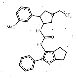 COc1cccc(C2CN(CC(F)(F)F)CC2NC(=O)Nc2c3c(nn2-c2ccccc2)CCC3)c1